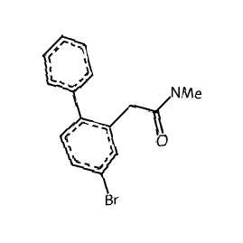 CNC(=O)Cc1cc(Br)ccc1-c1ccccc1